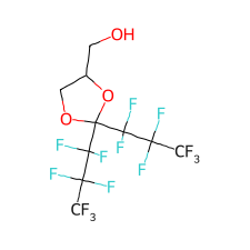 OCC1COC(C(F)(F)C(F)(F)C(F)(F)F)(C(F)(F)C(F)(F)C(F)(F)F)O1